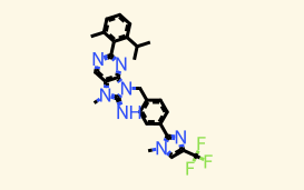 Cc1cccc(C(C)C)c1-c1ncc2c(n1)n(Cc1ccc(-c3nc(C(F)(F)F)cn3C)cc1)c(=N)n2C